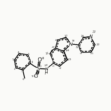 Cc1ccccc1S(=O)(=O)Nc1ccc2c(ccn2-c2cccnc2)c1